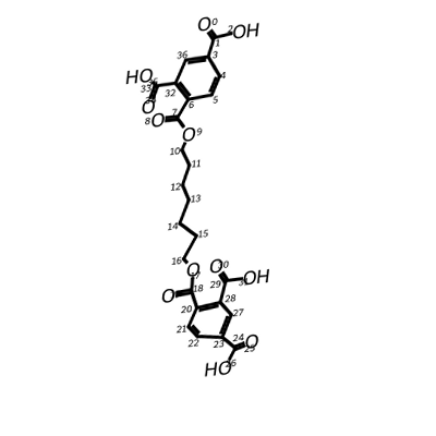 O=C(O)c1ccc(C(=O)OCCCCCCCOC(=O)c2ccc(C(=O)O)cc2C(=O)O)c(C(=O)O)c1